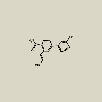 NC(=O)c1ccc(-c2cccc(O)c2)cc1C=CC=O